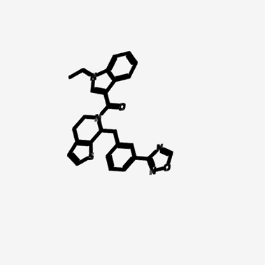 CCn1cc(C(=O)N2CCc3ccsc3C2Cc2cccc(-c3ncon3)c2)c2ccccc21